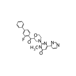 Cn1c(N2CCOC(C(=O)c3ccc(-c4ccccc4)cc3F)C2)nc(-c2ccncn2)cc1=O